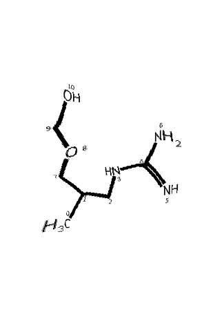 CC(CNC(=N)N)COCO